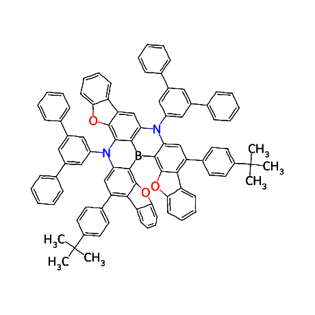 CC(C)(C)c1ccc(-c2cc3c(c4oc5ccccc5c24)B2c4c(cc5c(oc6ccccc65)c4N(c4cc(-c5ccccc5)cc(-c5ccccc5)c4)c4cc(-c5ccc(C(C)(C)C)cc5)c5c(oc6ccccc65)c42)N3c2cc(-c3ccccc3)cc(-c3ccccc3)c2)cc1